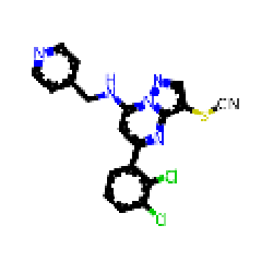 N#CSc1cnn2c(NCc3ccncc3)cc(-c3cccc(Cl)c3Cl)nc12